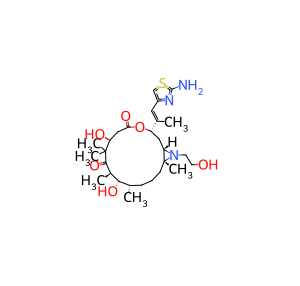 C/C(=C\c1csc(N)n1)[C@@H]1C[C@@H]2N(CCO)[C@]2(C)CCC[C@H](C)[C@H](O)[C@@H](C)C(=O)C(C)(C)[C@@H](O)CC(=O)O1